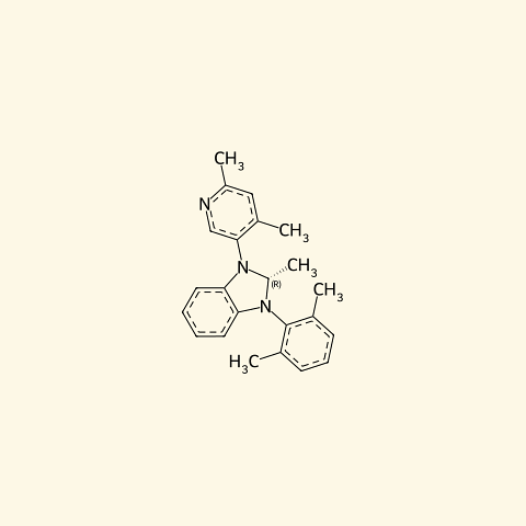 Cc1cc(C)c(N2c3ccccc3N(c3c(C)cccc3C)[C@H]2C)cn1